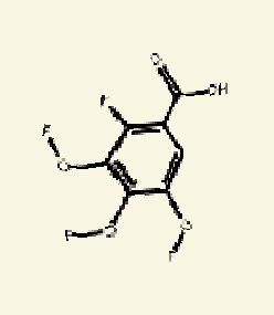 O=C(O)c1cc(OF)c(OF)c(OF)c1F